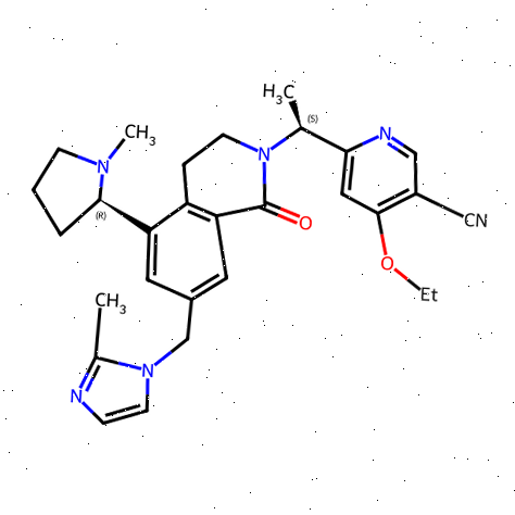 CCOc1cc([C@H](C)N2CCc3c(cc(Cn4ccnc4C)cc3[C@H]3CCCN3C)C2=O)ncc1C#N